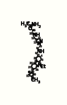 CCn1c2ccc(CNCCn3cc(CNCCOC(C)N)cn3)cc2c2ccc(-c3cc(C)cs3)cc21